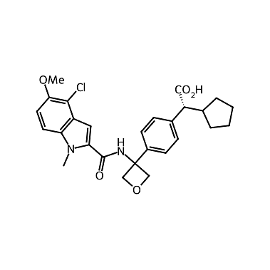 COc1ccc2c(cc(C(=O)NC3(c4ccc([C@H](C(=O)O)C5CCCC5)cc4)COC3)n2C)c1Cl